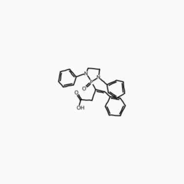 O=C(O)C/C(=C\c1ccccc1)P1(=O)N(c2ccccc2)CCN1c1ccccc1